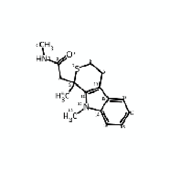 CNC(=O)CC1(C)SCCc2c1n(C)c1ccccc21